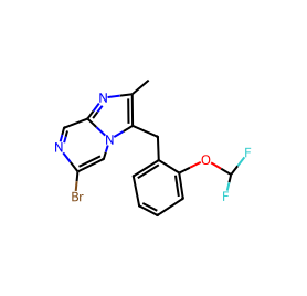 Cc1nc2cnc(Br)cn2c1Cc1ccccc1OC(F)F